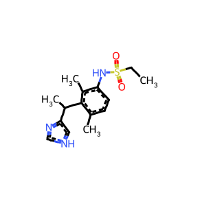 CCS(=O)(=O)Nc1ccc(C)c(C(C)c2c[nH]cn2)c1C